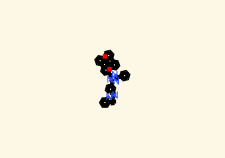 CC1(C)c2ccccc2-n2c1nc1cc(-c3nc(-c4ccccc4)nc(-c4ccc5c(c4)C4(c6ccccc6-c6ccccc64)c4ccccc4-5)n3)ccc12